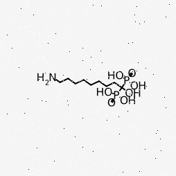 NCCCCCCCCC(O)(P(=O)(O)O)P(=O)(O)O